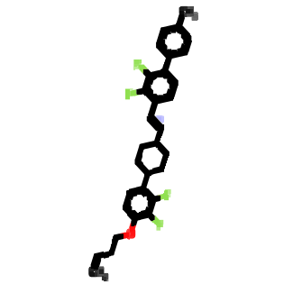 C=CCCOc1ccc(C2CCC(/C=C/c3ccc(-c4ccc(C)cc4)c(F)c3F)CC2)c(F)c1F